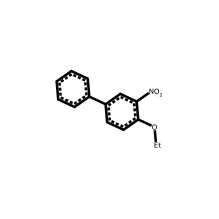 CCOc1ccc(-c2ccccc2)cc1[N+](=O)[O-]